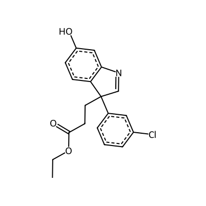 CCOC(=O)CCC1(c2cccc(Cl)c2)C=Nc2cc(O)ccc21